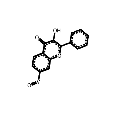 [O]=[V][c]1ccc2c(=O)c(O)c(-c3ccccc3)oc2c1